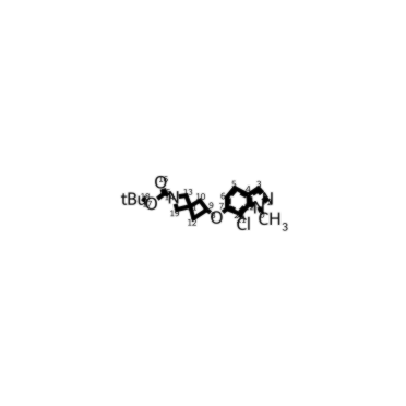 Cn1ncc2ccc(OC3CC4(C3)CN(C(=O)OC(C)(C)C)C4)c(Cl)c21